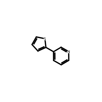 [c]1ncccc1-c1[c]ccs1